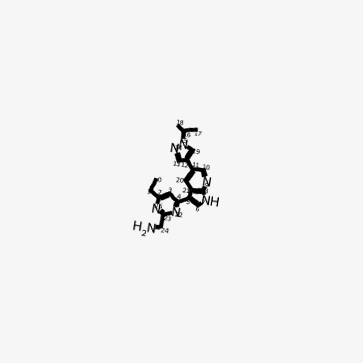 CCc1cc(-c2c[nH]c3ncc(-c4cnn(C(C)C)c4)cc23)nc(CN)n1